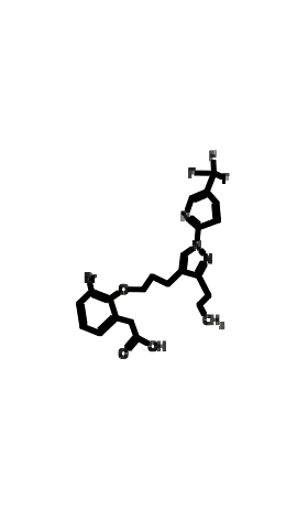 CCCc1nn(-c2ccc(C(F)(F)F)cn2)cc1CCCOc1c(Br)cccc1CC(=O)O